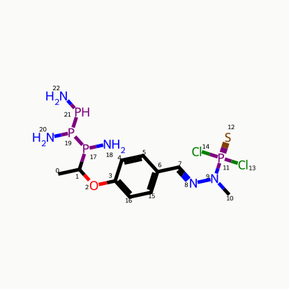 CC(Oc1ccc(/C=N/N(C)P(=S)(Cl)Cl)cc1)P(N)P(N)PN